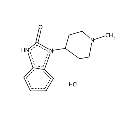 CN1CCC(n2c(=O)[nH]c3ccccc32)CC1.Cl